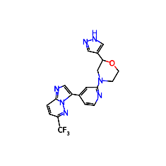 FC(F)(F)c1ccc2ncc(-c3ccnc(N4CCOC(c5cn[nH]c5)C4)c3)n2n1